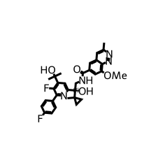 COc1cc(C(=O)NC[C@@](O)(c2cc(C(C)(C)O)c(F)c(-c3ccc(F)cc3)n2)C2(C)CC2)cc2cc(C)nnc12